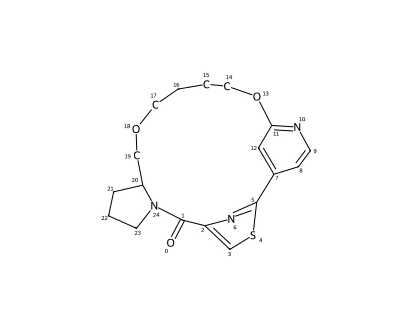 O=C1c2csc(n2)-c2ccnc(c2)OCCCCOCC2CCCN12